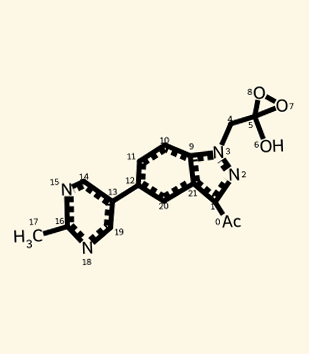 CC(=O)c1nn(CC2(O)OO2)c2ccc(-c3cnc(C)nc3)cc12